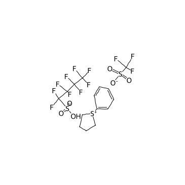 O=S(=O)(O)C(F)(F)C(F)(F)C(F)(F)C(F)(F)F.O=S(=O)([O-])C(F)(F)F.c1ccc([S+]2CCCC2)cc1